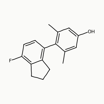 Cc1cc(O)cc(C)c1-c1ccc(F)c2c1CCC2